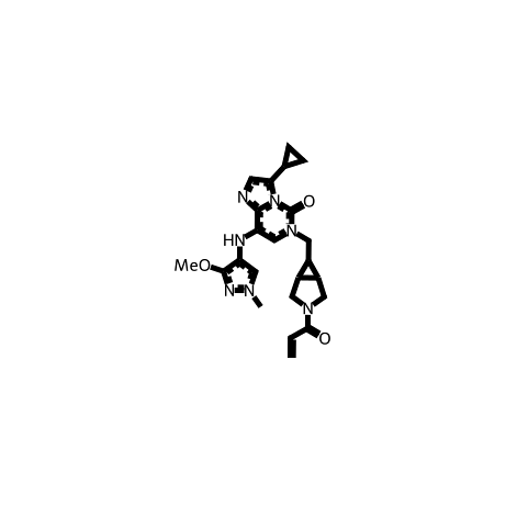 C=CC(=O)N1CC2C(C1)C2Cn1cc(Nc2cn(C)nc2OC)c2ncc(C3CC3)n2c1=O